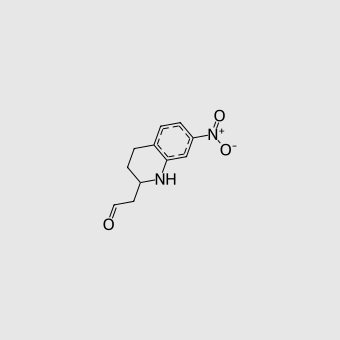 O=CCC1CCc2ccc([N+](=O)[O-])cc2N1